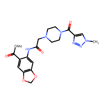 COC(=O)c1cc2c(cc1NC(=O)CN1CCN(C(=O)c3cn(C)nn3)CC1)OCO2